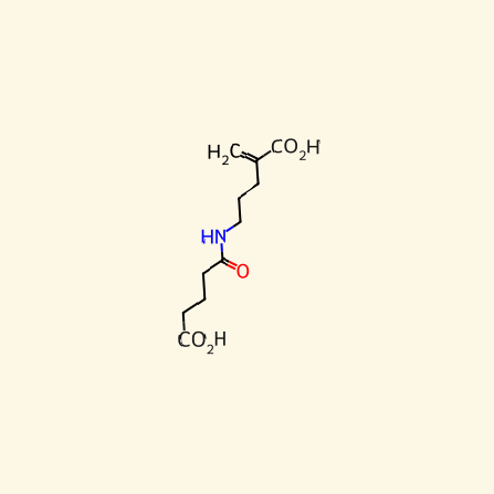 C=C(CCCNC(=O)CCCC(=O)O)C(=O)O